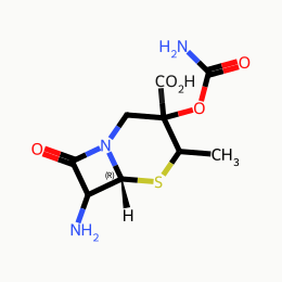 CC1S[C@@H]2C(N)C(=O)N2CC1(OC(N)=O)C(=O)O